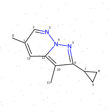 Cc1cnn2nc(C3CC3)c(C)c2c1